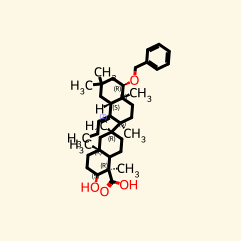 CC/C=C1/[C@@H]2CC(C)(C)C[C@@H](OCc3ccccc3)[C@]2(C)CC[C@@]1(C)[C@]1(C)CCC2[C@](C)(CC[C@H](O)[C@]2(C)C(=O)O)C1